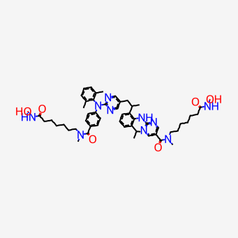 Cc1cccc(C)c1N(c1ccc(C(=O)N(C)CCCCCCC(=O)NO)cc1)c1ncc(CC(C)c2cccc(C(C)C)c2Nc2ncc(C(=O)N(C)CCCCCCC(=O)NO)cn2)cn1